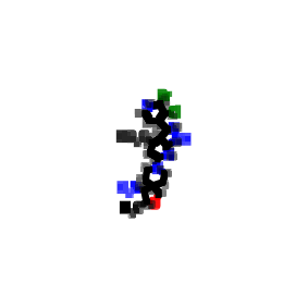 C[C@@H]1OCC2(CCN(c3cc(C(=O)O)c4c(-c5ccnc(Br)c5Cl)n[nH]c4n3)CC2)[C@@H]1N